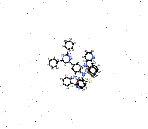 c1ccc(-c2cc(-c3cc(-n4c5ccccc5c5ncccc54)c(N4c5ccccc5Sc5ccccc54)c(-n4c5ccccc5c5ncccc54)c3)nc(-c3ccccc3)n2)cc1